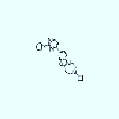 c1cc(-c2ccc3c(c2)nc2n3CCN(C3CCC3)CC2)nc(N2CCCC2)n1